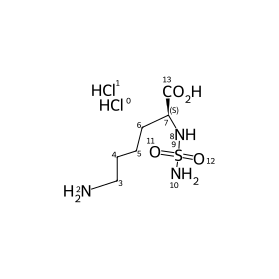 Cl.Cl.NCCCC[C@H](NS(N)(=O)=O)C(=O)O